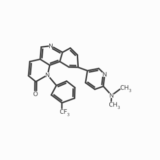 CN(C)c1ccc(-c2ccc3ncc4ccc(=O)n(-c5cccc(C(F)(F)F)c5)c4c3c2)cn1